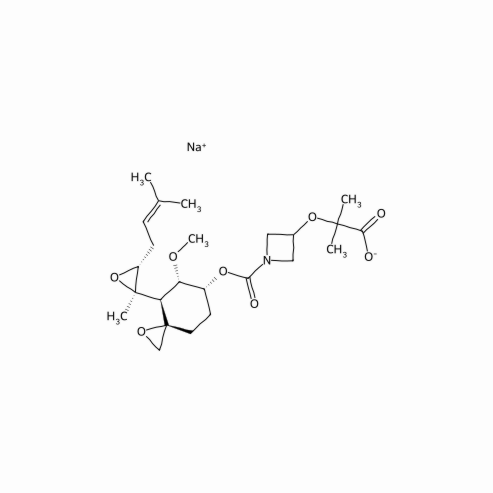 CO[C@@H]1[C@H](OC(=O)N2CC(OC(C)(C)C(=O)[O-])C2)CC[C@]2(CO2)[C@H]1[C@@]1(C)O[C@@H]1CC=C(C)C.[Na+]